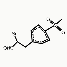 CS(=O)(=O)c1ccc(CC(Br)C=O)cc1